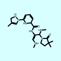 CN/C=C(/NC(=O)C1C=CC=C(N2C=C(C)CN2)N1)C(NC)N1CCC(C)(C)C1=O